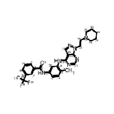 Cc1ccc(NC(=O)c2cccc(C(F)(F)F)c2)cc1Nc1ncnc2c1cnn2CCN1CCCCC1